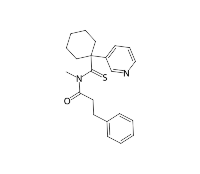 CN(C(=O)CCc1ccccc1)C(=S)C1(c2cccnc2)CCCCC1